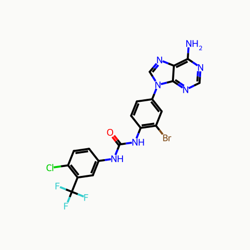 Nc1ncnc2c1ncn2-c1ccc(NC(=O)Nc2ccc(Cl)c(C(F)(F)F)c2)c(Br)c1